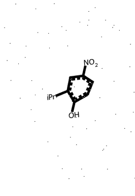 CC(C)c1cc([N+](=O)[O-])ccc1O